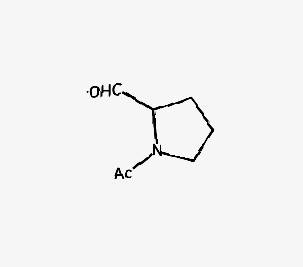 CC(=O)N1CCCC1[C]=O